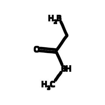 BCC(=O)BC